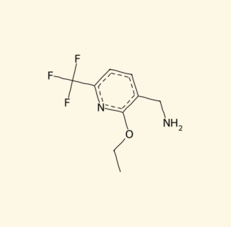 CCOc1nc(C(F)(F)F)ccc1CN